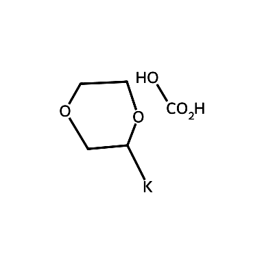 O=C(O)O.[K][CH]1COCCO1